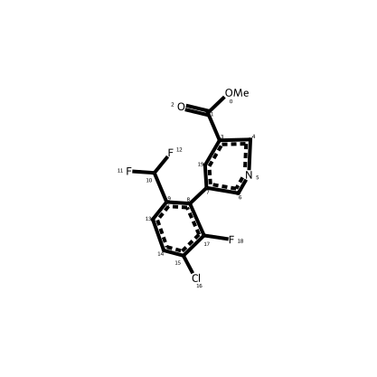 COC(=O)c1cncc(-c2c(C(F)F)ccc(Cl)c2F)c1